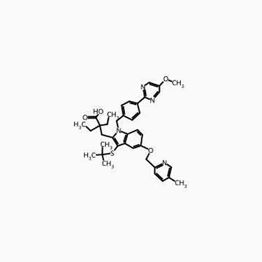 CCC(CC)(Cc1c(SC(C)(C)C)c2cc(OCc3ccc(C)cn3)ccc2n1Cc1ccc(-c2ncc(OC)cn2)cc1)C(=O)O